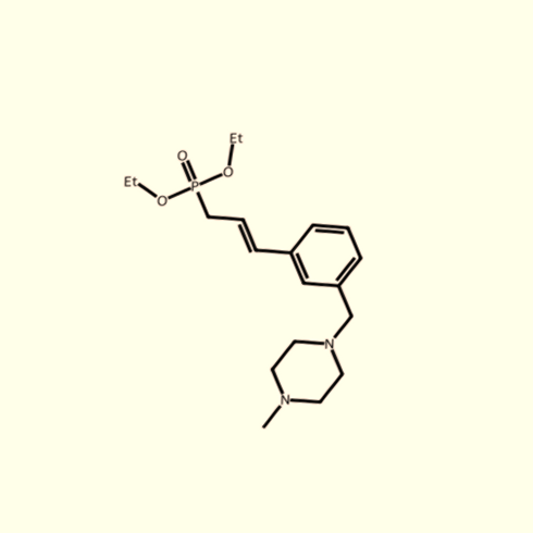 CCOP(=O)(CC=Cc1cccc(CN2CCN(C)CC2)c1)OCC